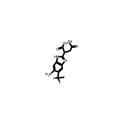 Nc1cc2[nH]c(C(CC(=O)S)C(=O)O)nc2cc1C(F)(F)F